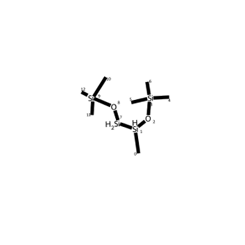 C[SiH](O[Si](C)(C)C)[SiH2]O[Si](C)(C)C